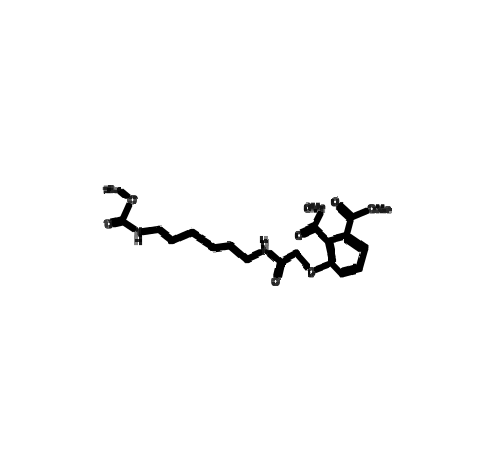 COC(=O)c1cccc(OCC(=O)NCCCCCCNC(=O)OC(C)(C)C)c1C(=O)OC